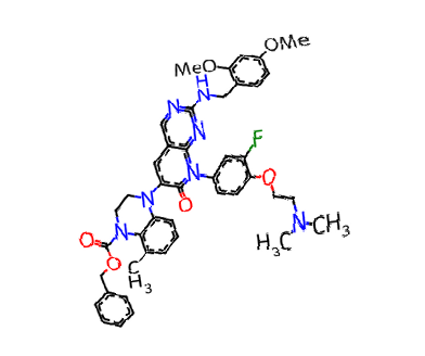 COc1ccc(CNc2ncc3cc(N4CCN(C(=O)OCc5ccccc5)c5c(C)cccc54)c(=O)n(-c4ccc(OCCN(C)C)c(F)c4)c3n2)c(OC)c1